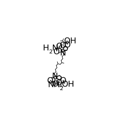 Cc1c(C(=O)C(N)=O)c2c(OC(C(=O)O)C(C)C)cccc2n1CCCCCC(C)CC(C)CCCCn1c(C)c(C(=O)C(N)=O)c2c(OC(C(=O)O)C(C)C)cccc21